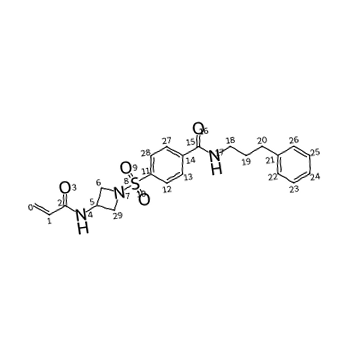 C=CC(=O)NC1CN(S(=O)(=O)c2ccc(C(=O)NCCCc3ccccc3)cc2)C1